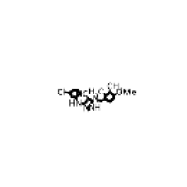 COc1ccc(/C=N/c2[nH]nc(Nc3cccc(Cl)c3)c2C#N)c(C)c1C